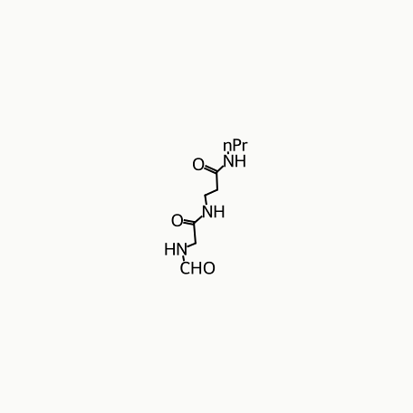 CCCNC(=O)CCNC(=O)CNC=O